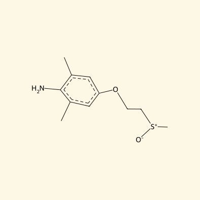 Cc1cc(OCC[S+](C)[O-])cc(C)c1N